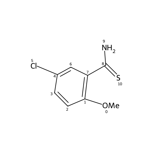 COc1ccc(Cl)cc1C(N)=S